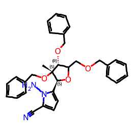 C[C@@]1(OCc2ccccc2)[C@H](OCc2ccccc2)C(COCc2ccccc2)O[C@H]1c1ccc(C#N)n1N